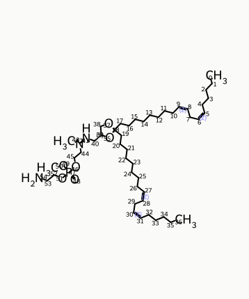 CCCCC/C=C\C/C=C\CCCCCCCCC1(CCCCCCCC/C=C\C/C=C\CCCCC)OC[C@H](CNN(C)CCOP(=O)(OC)OCCN)O1